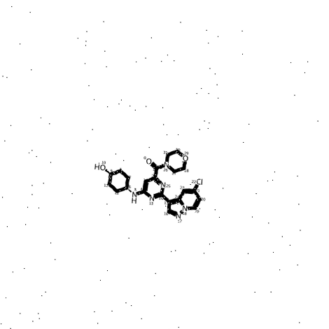 O=C(c1cc(N[C@H]2CC[C@H](O)CC2)nc(-c2cnn3ccc(Cl)cc23)n1)N1CCOCC1